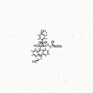 C#CC[n+]1c2ccccc2c(C(O)N(CCCC(=O)NC)S(=O)(=O)c2ccc(C)cc2)c2ccccc21